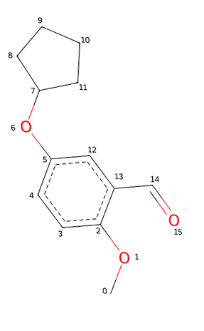 COc1ccc(OC2CCCC2)cc1C=O